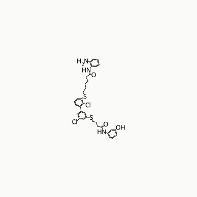 Nc1ccccc1NC(=O)CCCCCSc1cccc(-c2cc(Cl)cc(SCCCC(=O)Nc3cccc(O)c3)c2)c1Cl